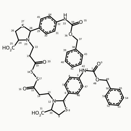 O=C(Nc1ccc(C2SCC(C(=O)O)N2CCC(=O)SSC(=O)CCN2C(C(=O)O)CSC2c2ccc(NC(=O)OCc3ccccc3)cc2)cc1)OCc1ccccc1